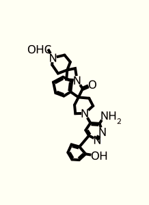 Nc1nnc(-c2ccccc2O)cc1N1CCC(C(=O)N2CC3(CCN(C=O)CC3)C2)(c2ccccc2)CC1